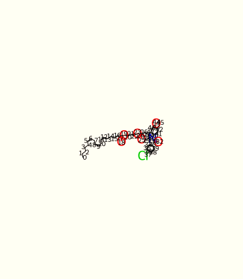 CCCCC/C=C\C/C=C\C/C=C\CCCCC(=O)OCCCOC(=O)Cc1c(C)n(C(=O)c2ccc(Cl)cc2)c2ccc(OC)cc12